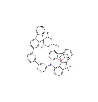 C=C1CC(CC)CC(C)C12c1ccccc1-c1ccc(-c3cccc(-c4cccc(N(c5cccc6c5-c5ccccc5C6(C)C)c5cccc6c5oc5ccccc56)c4)c3)cc12